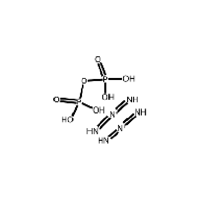 N=[N+]=N.N=[N+]=N.O=P(O)(O)OP(=O)(O)O